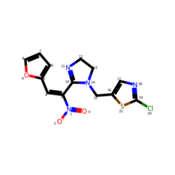 O=[N+]([O-])/C(=C/c1ccco1)C1=NCCN1Cc1cnc(Cl)s1